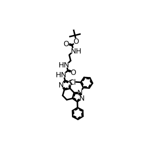 CC(C)(C)OC(=O)NCCNC(=O)Nc1nc2c(s1)-c1c(c(-c3ccccc3)nn1-c1ccccc1Cl)CC2